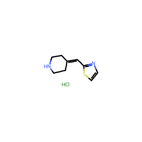 C(=C1CCNCC1)c1nccs1.Cl